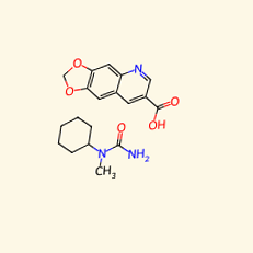 CN(C(N)=O)C1CCCCC1.O=C(O)c1cnc2cc3c(cc2c1)OCO3